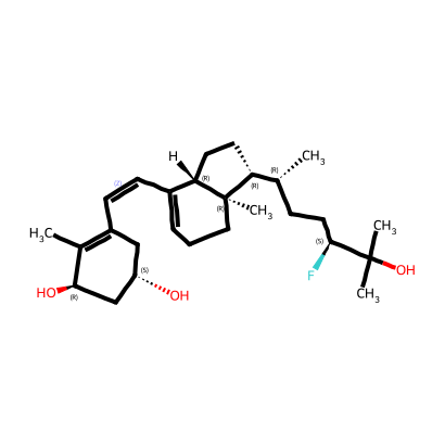 CC1=C(/C=C\C2=CCC[C@]3(C)[C@@H]([C@H](C)CC[C@H](F)C(C)(C)O)CC[C@@H]23)C[C@H](O)C[C@H]1O